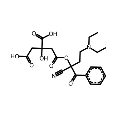 CCN(CC)CCC(C#N)(OC(=O)CC(O)(CC(=O)O)C(=O)O)C(=O)c1ccccc1